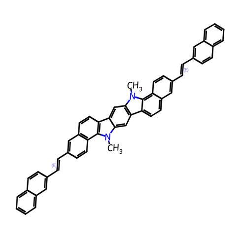 Cn1c2cc3c4ccc5cc(/C=C/c6ccc7ccccc7c6)ccc5c4n(C)c3cc2c2ccc3cc(/C=C/c4ccc5ccccc5c4)ccc3c21